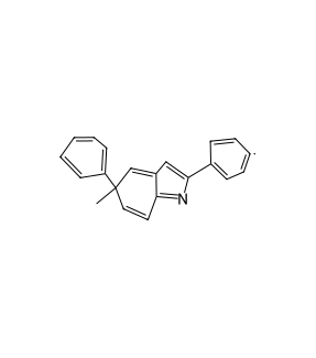 CC1(c2ccccc2)C=CC2=NC(c3cc[c]cc3)=CC2=C1